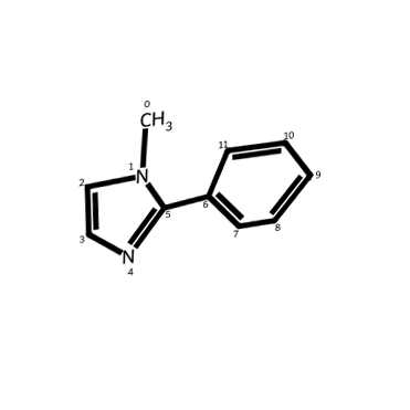 Cn1ccnc1-c1cc[c]cc1